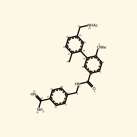 COc1ccc(C(=O)NCc2ccc(C(=N)N)cc2)cc1-c1cc(CNC(C)=O)ccc1C